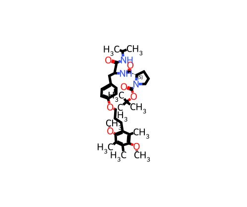 COc1c(C)c(C)c(OC)c(CCCOc2ccc(CC(NC(=O)[C@@H]3CCCN3C(=O)OC(C)(C)C)C(=O)NC(C)C)cc2)c1C